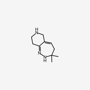 CC1(C)CC=C2CNCCC2=NN1